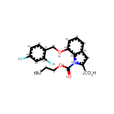 CC(C)(C)CCOC(=O)n1c(C(=O)O)cc2cccc(OCc3ccc(F)cc3F)c21